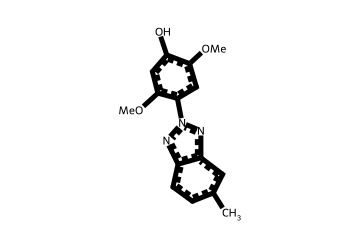 COc1cc(-n2nc3ccc(C)cc3n2)c(OC)cc1O